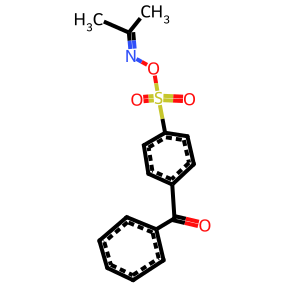 CC(C)=NOS(=O)(=O)c1ccc(C(=O)c2ccccc2)cc1